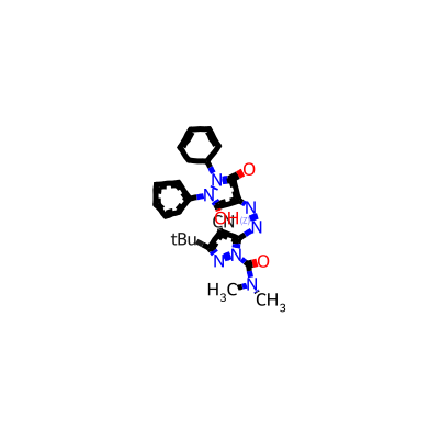 CN(C)C(=O)n1nc(C(C)(C)C)c(C#N)c1/N=N\c1c(O)n(-c2ccccc2)n(C2C=CC=CC2)c1=O